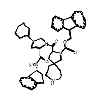 O=C(N[C@@H]1CCc2ccccc21)[C@@H]1C[C@@H](C2CCCCC2)CN1C(=O)C1CC2(CCNCC2)CN1C(=O)OCC1c2ccccc2-c2ccccc21